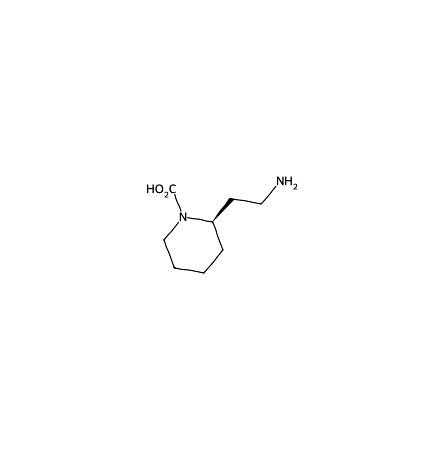 NCC[C@H]1CCCCN1C(=O)O